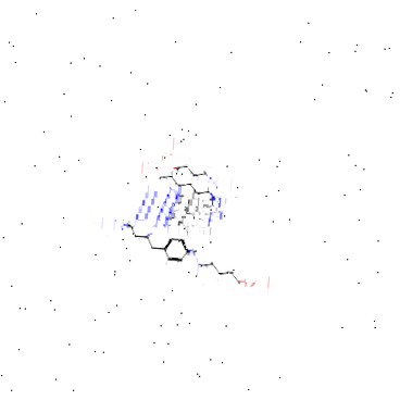 CCCCCCCCCN.CCCCCCCCN.CCCCCCCN.CCCCCCN.CCCCCN.NCCCCCCO.NCCCCCO.NCCCCO.NCCCCc1ccccc1